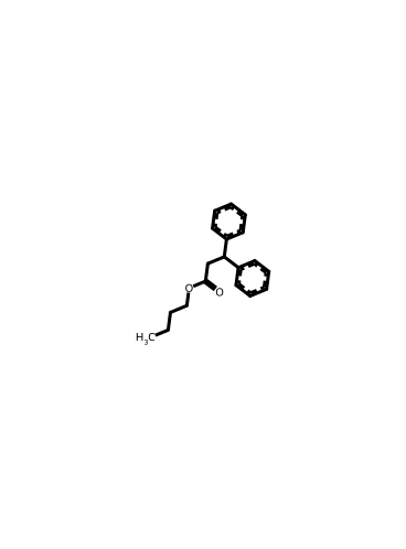 CCCCOC(=O)CC(c1ccccc1)c1ccccc1